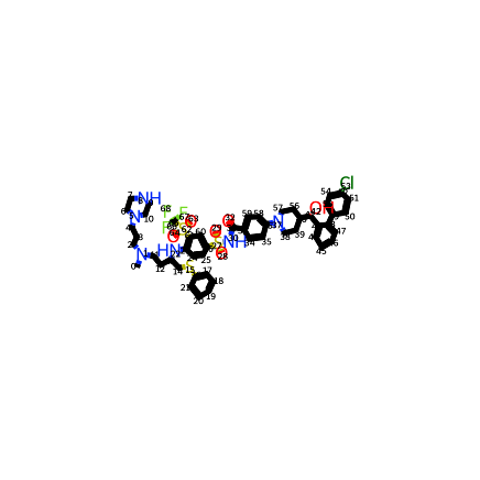 CN(CCCN1CCNCC1)CCC(CSc1ccccc1)Nc1ccc(S(=O)(=O)NC(=O)c2ccc(N3CCC(C(O)c4ccccc4-c4ccc(Cl)cc4)CC3)cc2)cc1S(=O)(=O)C(F)(F)F